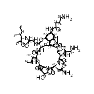 CC[C@H](C)[C@H](NC(=O)CNC(=O)[C@@H]1Cc2c([nH]c3cc(NC(=O)CCCN)ccc23)[S+]([O-])C[C@H](NC(=O)CN)C(=O)N[C@@H](CC(N)=O)C(=O)N2C[C@H](O)C[C@H]2C(=O)N[C@@H]([C@@H](C)CC)C(=O)N1)C(C)=O